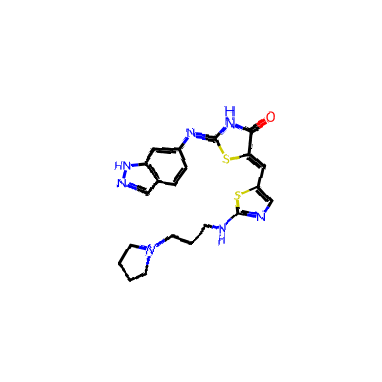 O=C1NC(=Nc2ccc3cn[nH]c3c2)S/C1=C\c1cnc(NCCCN2CCCC2)s1